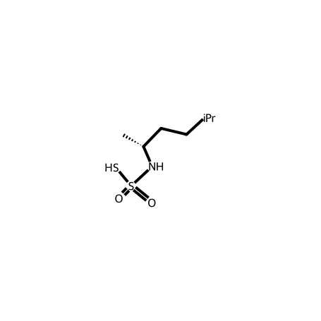 CC(C)CC[C@@H](C)NS(=O)(=O)S